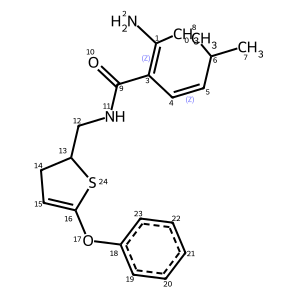 C/C(N)=C(\C=C/C(C)C)C(=O)NCC1CC=C(Oc2ccccc2)S1